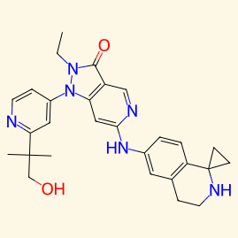 CCn1c(=O)c2cnc(Nc3ccc4c(c3)CCNC43CC3)cc2n1-c1ccnc(C(C)(C)CO)c1